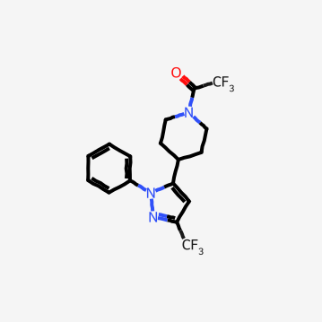 O=C(N1CCC(c2cc(C(F)(F)F)nn2-c2ccccc2)CC1)C(F)(F)F